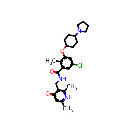 Cc1cc(=O)c(CNC(=O)c2cc(Cl)cc(OC3CCC(N4CCCC4)CC3)c2C)c(C)[nH]1